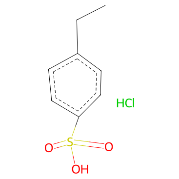 CCc1ccc(S(=O)(=O)O)cc1.Cl